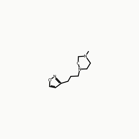 CN1CCN(CCCc2ccon2)CC1